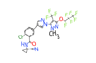 Cn1nc(OC(F)C(F)(F)C(F)(F)F)c(C(F)(F)F)c1-n1cc(-c2ccc(Cl)c(C(=O)NC3(C#N)CC3)c2)cn1